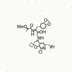 CO[C@H](C)C(=O)N[C@@H](Cc1ccc2c(c1)OCO2)[C@H](O)CN[C@H]1CC2(CCC2)Oc2c1cc(CC(C)C)nc2Cl